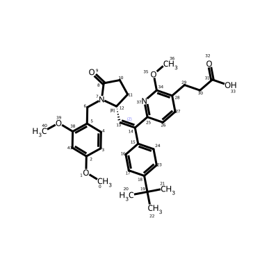 COc1ccc(CN2C(=O)CC[C@@H]2/C=C(/c2ccc(C(C)(C)C)cc2)c2ccc(CCC(=O)O)c(OC)n2)c(OC)c1